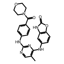 Cc1cnc(Nc2ccc(C(=O)N3CCOCC3)cc2)nc1Nc1ccc2oc(=O)[nH]c2c1